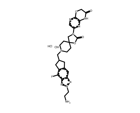 Cl.Cl.NCCn1nc2cc3c(c(F)c2n1)CC(CN1CCC2(CC1)CN(c1cnc4c(n1)NC(=O)CO4)C(=O)O2)C3